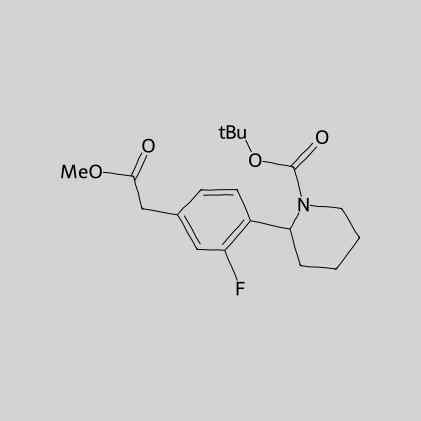 COC(=O)Cc1ccc(C2CCCCN2C(=O)OC(C)(C)C)c(F)c1